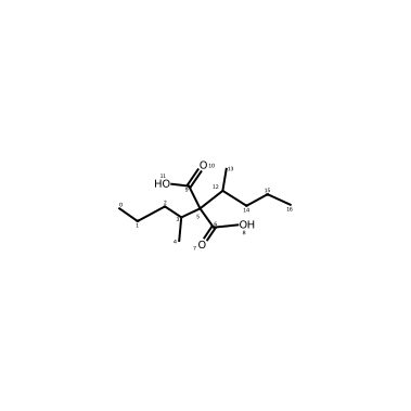 CCCC(C)C(C(=O)O)(C(=O)O)C(C)CCC